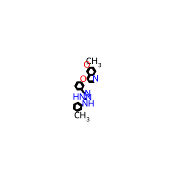 COc1ccc2nccc(Oc3cccc(-c4nnc(Nc5cccc(C)c5)[nH]4)c3)c2c1